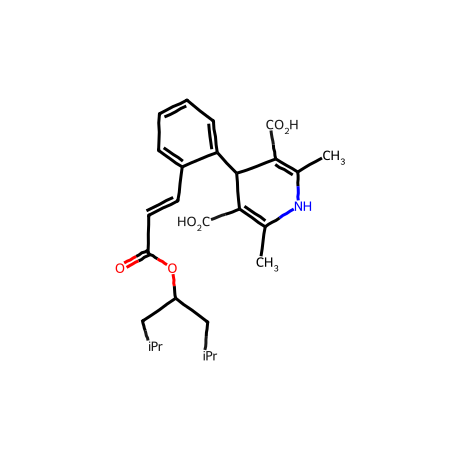 CC1=C(C(=O)O)C(c2ccccc2C=CC(=O)OC(CC(C)C)CC(C)C)C(C(=O)O)=C(C)N1